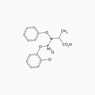 CC(C(=O)O)N(Oc1ccccc1)[PH](=O)Oc1ccccc1Cl